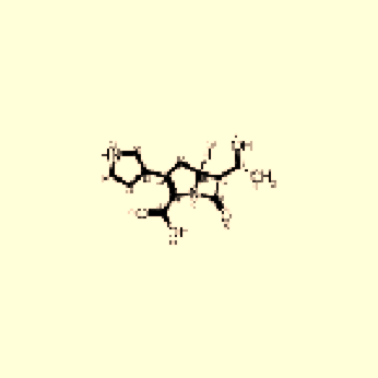 C[C@@H](O)[C@H]1C(=O)N2C(C(=O)O)=C(C3CCNC3)C[C@H]12